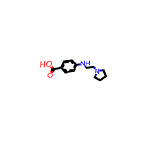 O=C(O)c1ccc(NCCN2CCCC2)cc1